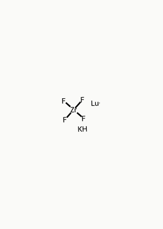 [F][Zr]([F])([F])[F].[KH].[Lu]